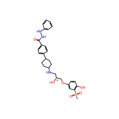 CS(=O)(=O)c1cc(OC[C@@H](O)CNC2CCC(c3ccc(C(=O)NNc4ccccc4)cc3)CC2)ccc1O